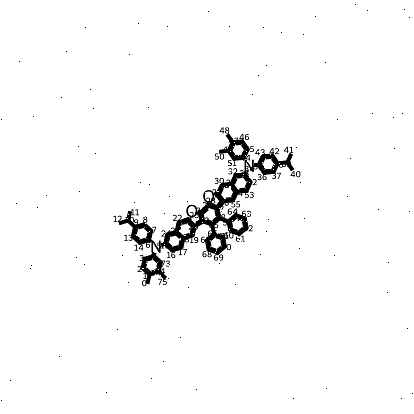 Cc1ccc(N(c2ccc(C(C)C)cc2)c2ccc3cc4c(cc3c2)oc2c3oc5cc6cc(N(c7ccc(C(C)C)cc7)c7ccc(C)c(C)c7)ccc6cc5c3c(-c3ccccc3)c(-c3ccccc3)c42)cc1C